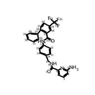 Nc1cccc(C(=O)NCc2ccc(NC(=O)c3cc(C(F)(F)F)ccc3-c3ccccc3)cc2)n1